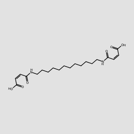 O=C(O)/C=C\C(=O)NCCCCCCCCCCCCNC(=O)/C=C\C(=O)O